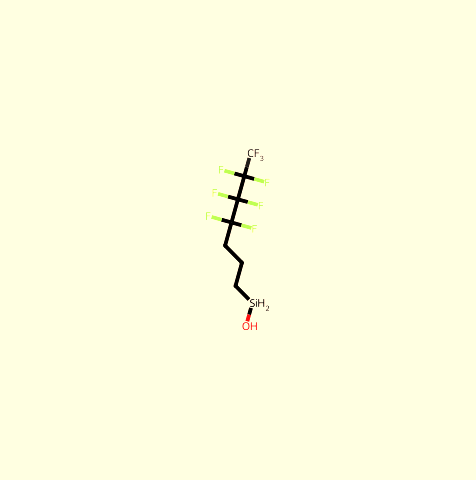 O[SiH2]CCCC(F)(F)C(F)(F)C(F)(F)C(F)(F)F